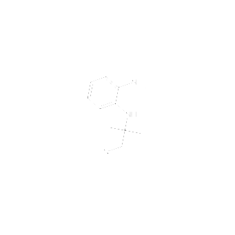 CC(C)(CN)Nc1ccccc1[N+](=O)[O-]